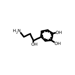 NCCC(O)c1ccc(O)c(O)c1